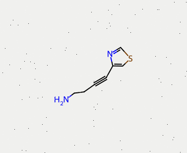 NCCC#Cc1cscn1